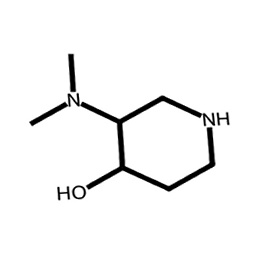 CN(C)C1CNCCC1O